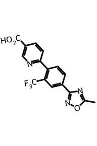 Cc1nc(-c2ccc(-c3ccc(C(=O)O)cn3)c(C(F)(F)F)c2)no1